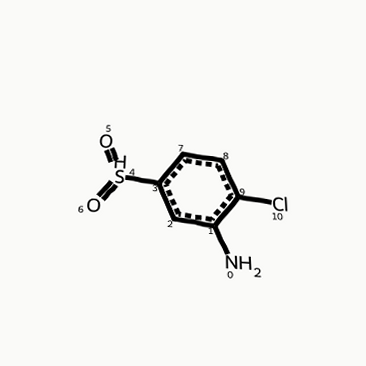 Nc1cc([SH](=O)=O)ccc1Cl